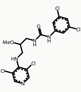 COC(CNC(=O)Nc1cc(Cl)cc(Cl)c1)CNc1c(Cl)cncc1Cl